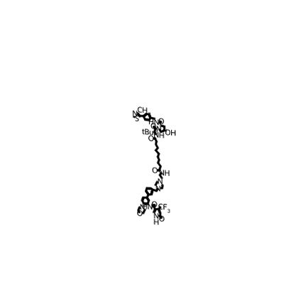 Cc1ncsc1-c1ccc(CNC(=O)[C@@H]2C[C@@H](O)CN2C(=O)[C@@H](NC(=O)CCCCCCCCCC(=O)NCCN2CCN(Cc3cccc(-c4ccc(N5CCOCC5)c(NC(=O)c5c[nH]c(=O)cc5C(F)(F)F)c4)c3)CC2)C(C)(C)C)cc1